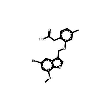 COc1cc(Br)cc2c(COc3cc(C)ccc3CC(=O)O)coc12